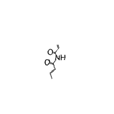 C=CC(=O)NC(=O)/C=C/C